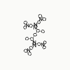 c1ccc(-c2cc(-c3ccc(-c4cc(-c5ccccc5)cc(-c5cc(-c6ccc(-n7c8ccccc8c8ccccc87)cc6)nc(-c6ccc(-n7c8ccccc8c8ccccc87)cc6)n5)c4)cc3)cc(-c3cc(-c4ccc(-n5c6ccccc6c6ccccc65)cc4)nc(-c4ccc(-n5c6ccccc6c6ccccc65)cc4)n3)c2)cc1